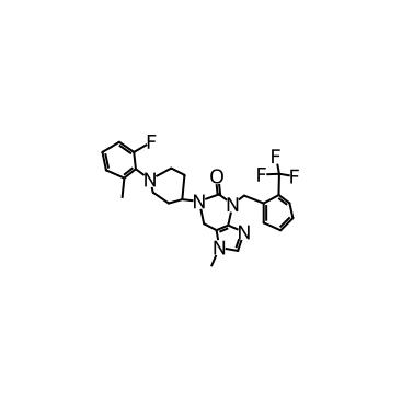 Cc1cccc(F)c1N1CCC(N2Cc3c(ncn3C)N(Cc3ccccc3C(F)(F)F)C2=O)CC1